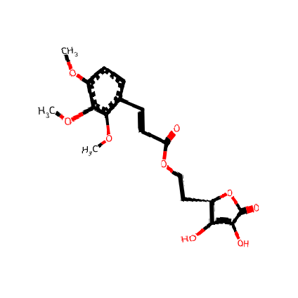 COc1ccc(/C=C/C(=O)OCC[C@H]2OC(=O)C(O)=C2O)c(OC)c1OC